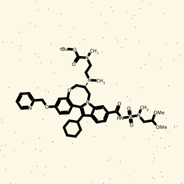 COC(CN(C)S(=O)(=O)NC(=O)c1ccc2c(C3CCCCC3)c3n(c2c1)C[C@@H](N(C)CCN(C)C(=O)OC(C)(C)C)COc1cc(OCc2ccccn2)ccc1-3)OC